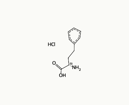 Cl.N[C@@H](CCc1ccccc1)C(=O)O